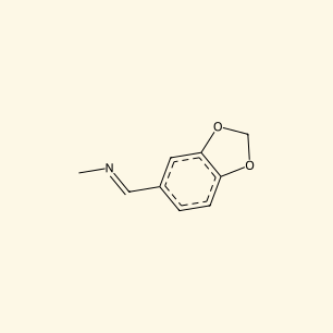 CN=Cc1ccc2c(c1)OCO2